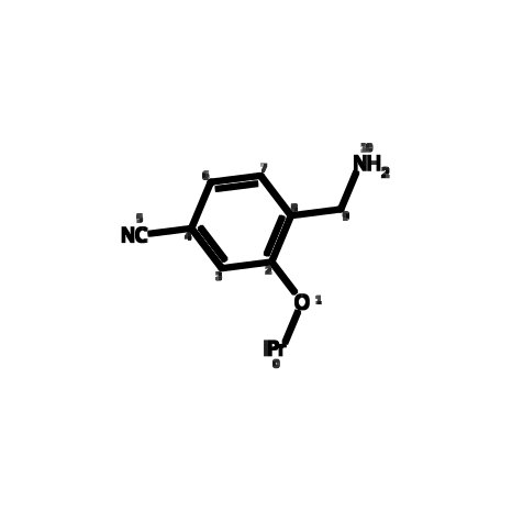 CC(C)Oc1cc(C#N)ccc1CN